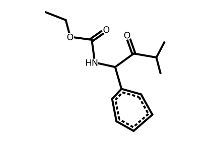 CCOC(=O)NC(C(=O)C(C)C)c1ccccc1